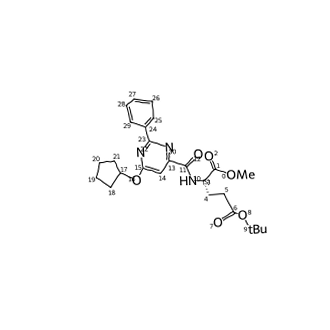 COC(=O)[C@H](CCC(=O)OC(C)(C)C)NC(=O)c1cc(OC2CCCC2)nc(-c2ccccc2)n1